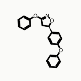 c1ccc(OC2=NO[C@@H](c3ccc(Oc4ccccc4)cc3)C2)cc1